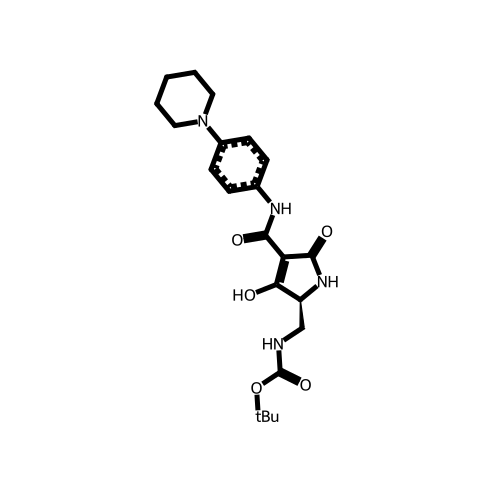 CC(C)(C)OC(=O)NC[C@@H]1NC(=O)C(C(=O)Nc2ccc(N3CCCCC3)cc2)=C1O